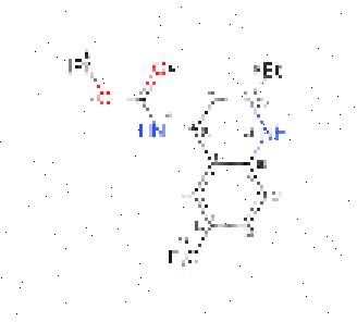 CC[C@H]1C[C@@H](NC(=O)OC(C)C)c2cc(C(F)(F)F)ccc2N1